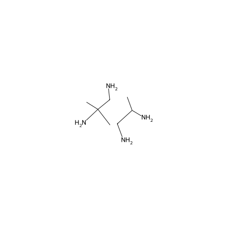 CC(C)(N)CN.CC(N)CN